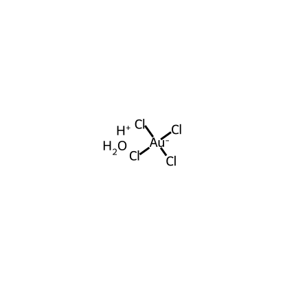 O.[Cl][Au-]([Cl])([Cl])[Cl].[H+]